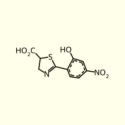 O=C(O)C1CN=C(c2ccc([N+](=O)[O-])cc2O)S1